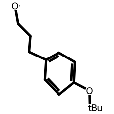 CC(C)(C)Oc1ccc(CCC[O])cc1